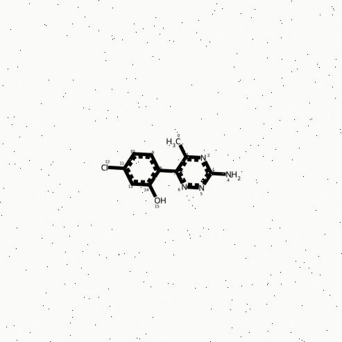 Cc1nc(N)nnc1-c1ccc(Cl)cc1O